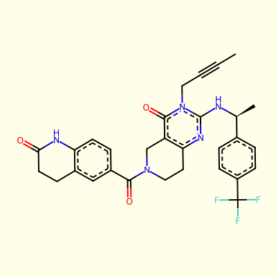 CC#CCn1c(N[C@@H](C)c2ccc(C(F)(F)F)cc2)nc2c(c1=O)CN(C(=O)c1ccc3c(c1)CCC(=O)N3)CC2